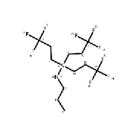 CCCN[Si](CCC(F)(F)F)(CCC(F)(F)F)CCC(F)(F)F